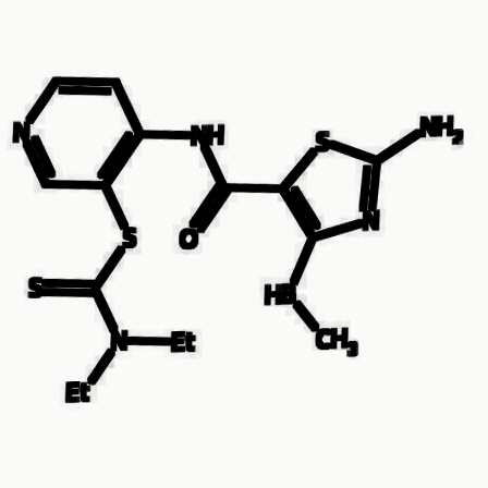 CBc1nc(N)sc1C(=O)Nc1ccncc1SC(=S)N(CC)CC